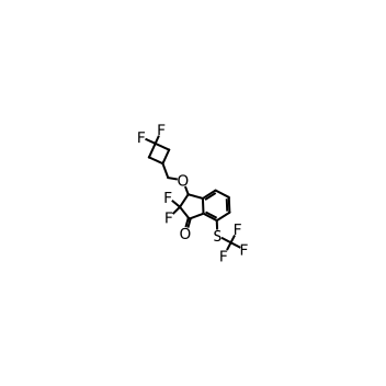 O=C1c2c(SC(F)(F)F)cccc2C(OCC2CC(F)(F)C2)C1(F)F